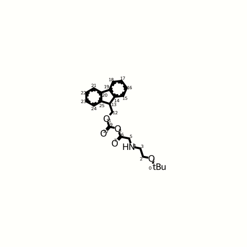 CC(C)(C)OCCNCC(=O)OC(=O)OCC1c2ccccc2-c2ccccc21